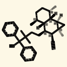 C#C[C@H]1[C@@H](CCC(C)(C)[Si](O)(c2ccccc2)c2ccccc2)[C@H]2[C@@H]([C@H]3C[C@]31C)[C@@H](C)CC[C@@H]2C